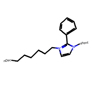 CCCCCCCCCCCCCCCC[n+]1ccn(CCCCC)c1-c1ccccc1